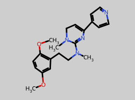 COc1ccc(OC)c(CCN(C)C2=NC(c3ccncc3)=CCN2C)c1